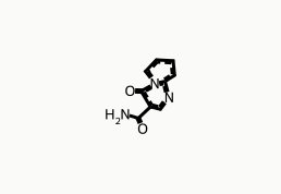 NC(=O)c1cnc2ccccn2c1=O